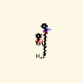 CCCCCCCCCCCCCCONc1ccccc1.COC(=O)c1ccccc1